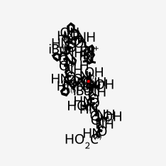 CC[C@H](C)C(NC(=O)[C@H](Cc1ccccc1)NC(=O)CNC(=O)[C@@H]1CCCN1C(=O)C(Cc1ccccc1)NC(=O)[C@@H](NC(=O)[C@@H](NC(=O)C(Cc1ccccc1)NC(=O)CCC1=[N+]2C(=Cc3c(C)cc(C)n3[B-]2(F)F)C=C1)[C@@H](C)O)[C@@H](C)CC)C(=O)N[C@H](C(=O)N[C@H](C(=O)N[C@H](C(=O)NCC(=O)NC(C(=O)NCC(=O)NC(C(=O)NCC(=O)N[C@@H](C)C(=O)O)[C@@H](C)O)[C@@H](C)O)[C@@H](C)O)[C@@H](C)O)[C@@H](C)CC